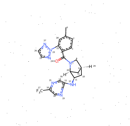 Cc1ccc(C(=O)N2C[C@H]3C[C@@H](Nc4cnc(C(F)(F)F)cn4)[C@@H]2C3)c(-n2nccn2)c1